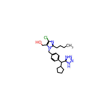 CCCCc1nc(Cl)c(CO)n1Cc1ccc(C(c2nnn[nH]2)C2CCCC2)cc1